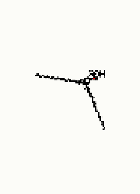 CCCCCCCCCCCCCCCCCCOc1ccc(C(CC)C(=O)O)cc1OCCCCCCCCCCCCCCCCCC